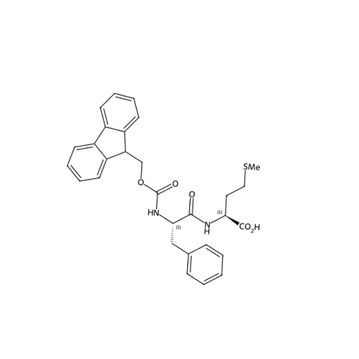 CSCC[C@H](NC(=O)[C@H](Cc1ccccc1)NC(=O)OCC1c2ccccc2-c2ccccc21)C(=O)O